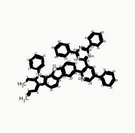 C=C/C=c1\c(=C/C)n(-c2ccccc2)c2c1ccc1c3cc(-c4ncc(-c5ccccc5)cc4-c4nc(-c5ccccc5)nc(-c5ccccc5)n4)ccc3oc12